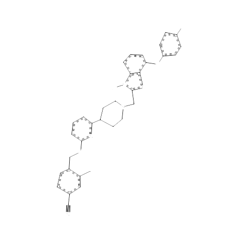 Cn1c(CN2CCC(c3cccc(OCc4ccc(C#N)cc4F)n3)CC2)nc2c(Oc3ccc(F)cc3)cccc21